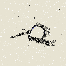 COCCOCCOCCO[C@@H]1C[C@@H]2CC[C@@H](C)[C@@](O)(O2)C(=O)C(=O)N2CCCC[C@H]2C(=O)O[C@H]([C@H](C)C[C@@H]2CC[C@@H](OC)[C@H](OC)C2)CC(=O)[C@H](C)/C=C(\C)[C@@H](O)[C@@H](OC)C(=O)[C@H](C)C[C@H](C)/C=C/C=C/C=C/1C